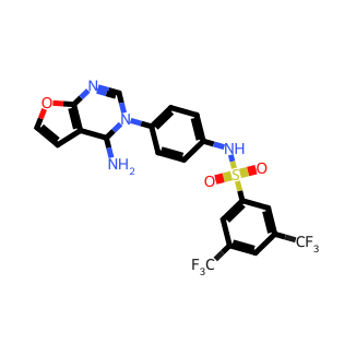 NC1c2ccoc2N=CN1c1ccc(NS(=O)(=O)c2cc(C(F)(F)F)cc(C(F)(F)F)c2)cc1